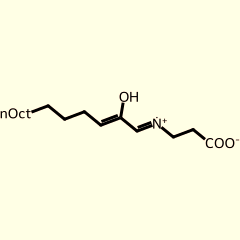 CCCCCCCCCCCC=C(O)C=[N+]CCC(=O)[O-]